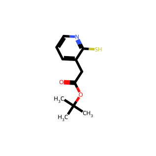 CC(C)(C)OC(=O)Cc1cccnc1S